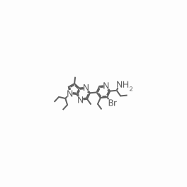 CCc1c(-c2nc3c(C)cn(C(CC)CC)c3nc2C)cnc(C(N)CC)c1Br